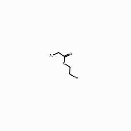 CC(=O)CC(=O)OC[CH2][Fe]